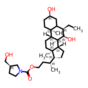 CC[C@@H]1C2C[C@H](O)CC[C@]2(C)[C@H]2CC[C@]3(C)[C@@H]([C@H](C)CCOC(=O)N4CC[C@@H](CO)C4)CC[C@H]3[C@@H]2[C@@H]1O